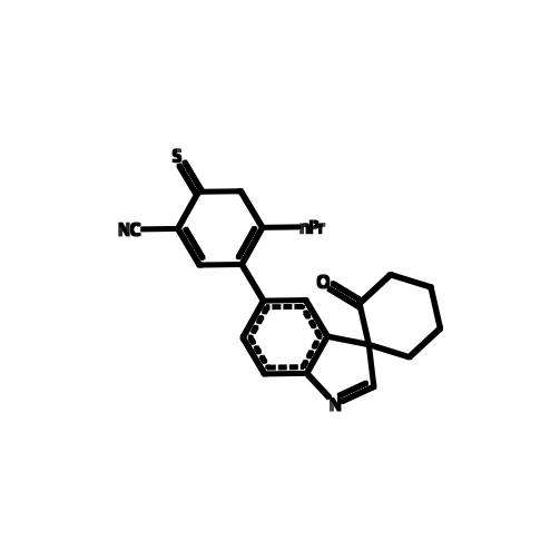 CCCC1=C(c2ccc3c(c2)C2(C=N3)CCCCC2=O)C=C(C#N)C(=S)C1